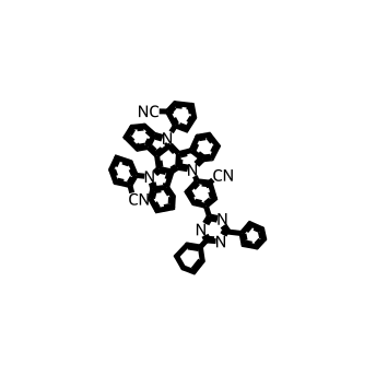 N#Cc1ccccc1-n1c2ccccc2c2c1c1c3ccccc3n(-c3ccc(-c4nc(C5=CCCC=C5)nc(-c5ccccc5)n4)cc3C#N)c1c1c3ccccc3n(-c3ccccc3C#N)c21